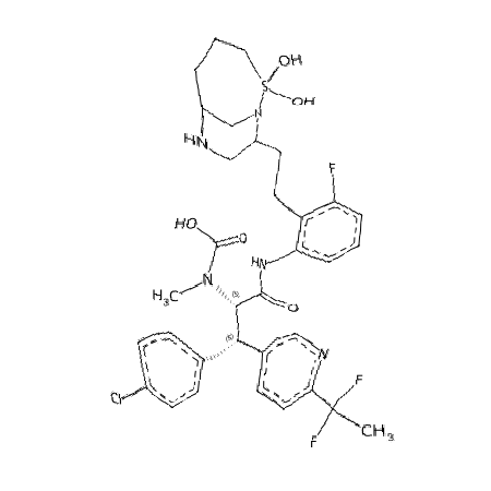 CN(C(=O)O)[C@H](C(=O)Nc1cccc(F)c1CCC1CNC2CCCS(O)(O)N1C2)[C@@H](c1ccc(Cl)cc1)c1ccc(C(C)(F)F)nc1